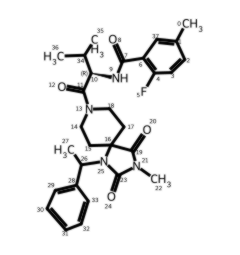 Cc1ccc(F)c(C(=O)N[C@@H](C(=O)N2CCC3(CC2)C(=O)N(C)C(=O)N3C(C)c2ccccc2)C(C)C)c1